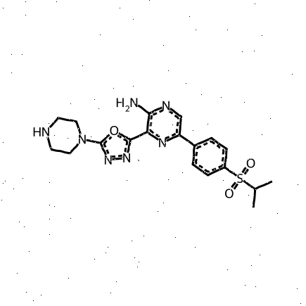 CC(C)S(=O)(=O)c1ccc(-c2cnc(N)c(-c3nnc(N4CCNCC4)o3)n2)cc1